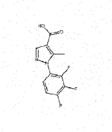 Cc1c(C(=O)O)cnn1-c1ccc(F)c(F)c1F